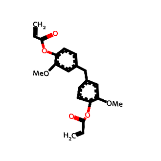 C=CC(=O)Oc1ccc(Cc2ccc(OC(=O)C=C)c(OC)c2)cc1OC